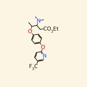 CCOC(=O)CC(C(C)Oc1ccc(Oc2ccc(C(F)(F)F)cn2)cc1)N(C)C